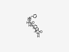 CC1CNC(=O)c2cc3ccc(NC(=O)Nc4cnn(Cc5ccccc5)c4)nc3n21